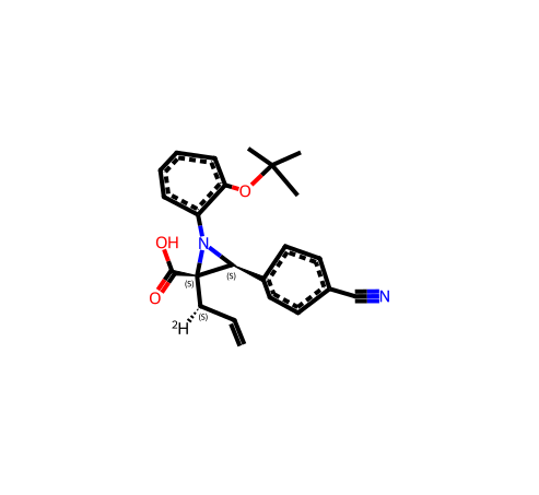 [2H][C@@H](C=C)[C@@]1(C(=O)O)[C@H](c2ccc(C#N)cc2)N1c1ccccc1OC(C)(C)C